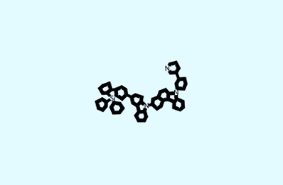 c1ccc([Si]2(c3ccccc3)c3ccccc3-c3ccc(-c4ccc5c(c4)c4ccccc4n5-c4ccc5c(ccc6c5c5ccccc5n6-c5cccc(-c6cccnc6)c5)c4)cc32)cc1